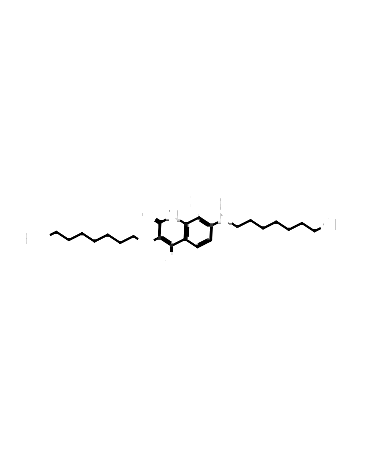 CCCCCCCCNc1ccc2c(O)c(OCCCCCCCC)c(=O)n(C)c2c1